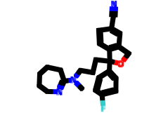 CN(CCCC1(c2ccc(F)cc2)OCc2cc(C#N)ccc21)C1=NCCCCC1